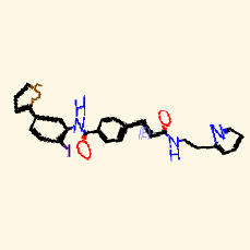 O=C(/C=C/c1ccc(C(=O)Nc2cc(-c3cccs3)ccc2I)cc1)NCCc1ccccn1